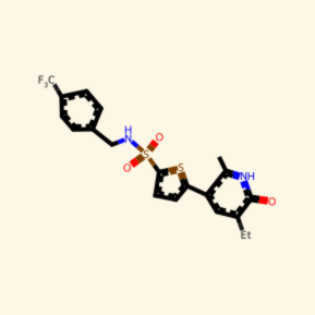 CCc1cc(-c2ccc(S(=O)(=O)NCc3ccc(C(F)(F)F)cc3)s2)c(C)[nH]c1=O